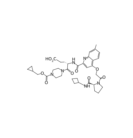 Cc1ccc2c(OCC(=O)N3CCC[C@H]3C(=O)NC3CCC3)cc(C(=O)N[C@@H](CCC(=O)O)C(=O)N3CCN(C(=O)OCC4CC4)CC3)nc2c1